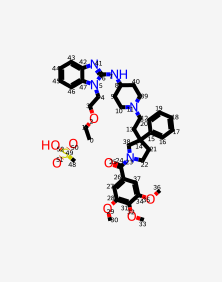 CCOCCn1c(NC2CCN(CCC3(c4ccccc4)CCN(C(=O)c4cc(OC)c(OC)c(OC)c4)C3)CC2)nc2ccccc21.CS(=O)(=O)O